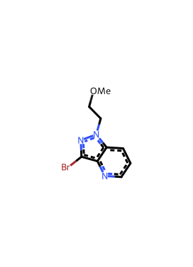 COCCn1nc(Br)c2ncccc21